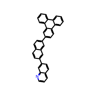 c1cnc2cc(-c3ccc4ccc(-c5ccc6c7ccccc7c7ccccc7c6c5)cc4c3)ccc2c1